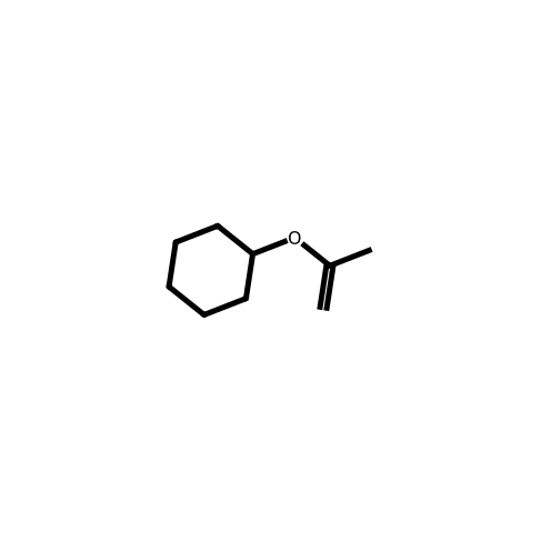 C=C(C)OC1CCCCC1